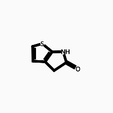 O=C1Cc2ccsc2N1